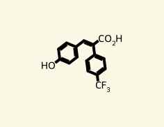 O=C(O)/C(=C/c1ccc(O)cc1)c1ccc(C(F)(F)F)cc1